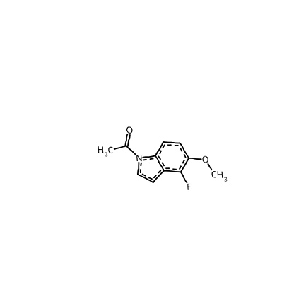 COc1ccc2c(ccn2C(C)=O)c1F